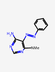 CNc1ncnc(N)c1N=Nc1ccccc1